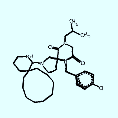 CC(C)CN1CC(=O)N(Cc2ccc(Cl)cc2)C2(CCN(C3NCCCC34CCCCCCCCC4)C2)C1=O